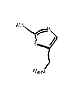 CNCc1cnc(N)s1